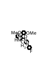 COc1ccc(OC)c(C2C(C(=O)N3CCN(c4ccc(F)cc4)CC3)=C(C)Nc3ccnn32)c1